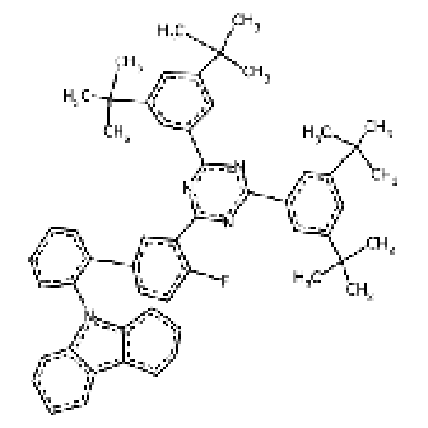 CC(C)(C)c1cc(-c2nc(-c3cc(C(C)(C)C)cc(C(C)(C)C)c3)nc(-c3cc(-c4ccccc4-n4c5ccccc5c5ccccc54)ccc3F)n2)cc(C(C)(C)C)c1